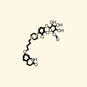 O=COC1OC(Oc2ccc(N3CCN(CCCCOc4ccc5c(c4)NC(=O)CC5)CC3)c(Cl)c2Cl)C(O)C(O)C1O